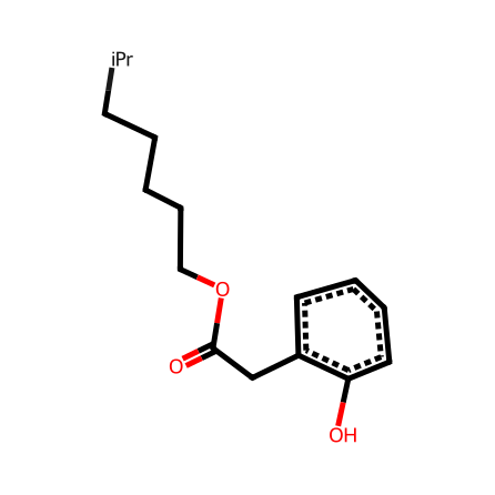 CC(C)CCCCCOC(=O)Cc1ccccc1O